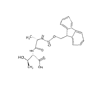 C[C@H](NC(=O)OCC1c2ccccc2-c2ccccc21)C(=O)N[C@H](C(=O)O)[C@@H](C)O